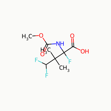 COC(=O)NC(F)(C(=O)O)C(C)(C)C(F)F